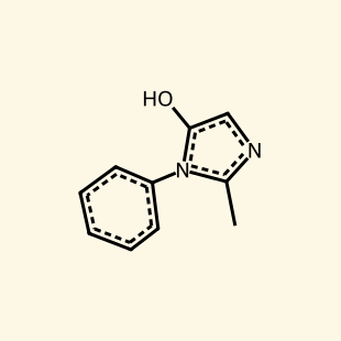 Cc1ncc(O)n1-c1ccccc1